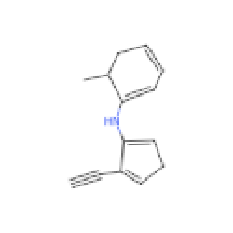 C#CC1=CCC=C1NC1=CC=CCC1C